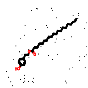 CCCCCCCCCC=CC=CC=CC=CC=CC(=O)OCCc1ccc(O)cc1